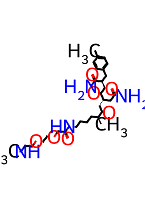 CNCCOCCOCC(=O)NCCCC[C@H](C)C(=O)C[C@@H](CC(N)=O)C(=O)C[C@H](Cc1ccc(C)cc1)C(N)=O